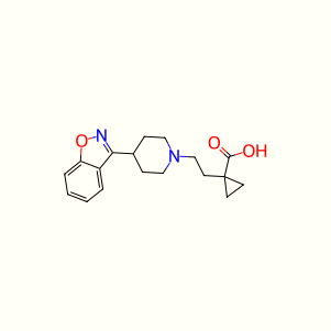 O=C(O)C1(CCN2CCC(c3noc4ccccc34)CC2)CC1